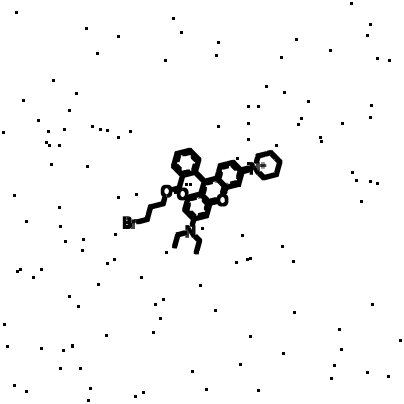 CCN(CC)c1ccc2c(-c3ccccc3C(=O)OCCCBr)c3ccc(=[N+]4CCCCC4)cc-3oc2c1